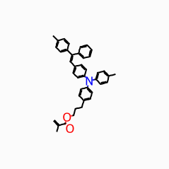 C=C(C)C(=O)OCCCc1ccc(N(c2ccc(C)cc2)c2ccc(/C=C(\c3ccccc3)c3ccc(C)cc3)cc2)cc1